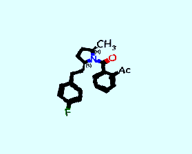 CC(=O)c1ccccc1C(=O)N1[C@@H](CCc2ccc(F)cc2)CC[C@H]1C